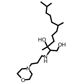 CC(C)CCCC(C)CCCC(C)(O)C(CO)NCCCN1CCOCC1